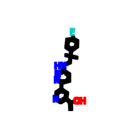 C=C(O)c1cncc(-c2ccc(NCC(C)(C)c3ccc(F)cc3)nn2)c1